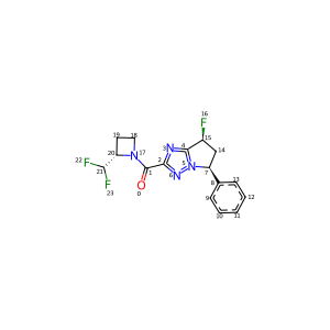 O=C(c1nc2n(n1)[C@H](c1ccccc1)C[C@@H]2F)N1CC[C@H]1C(F)F